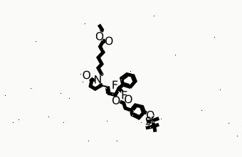 CCOC(=O)CCCCCCN1C(=O)CC[C@@H]1/C=C/[C@@H](OC(=O)Cc1ccc(O[Si](C)(C)C(C)(C)C)cc1)C(F)(F)c1ccccc1